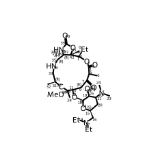 CC[C@H]1OC(=O)C(C)C(=O)[C@H](C)[C@@H](O[C@@H]2O[C@H](CN(CC)CC)CC(N(C)C)C2O)[C@](C)(OC)C[C@@H](C)CN[C@H](C)[C@H]2NC(=O)O[C@@]21C